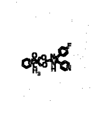 CC1(C(=O)N2CCCCC2)COC(c2nc(-c3ccc(F)cc3)c(-c3ccncc3)[nH]2)OC1